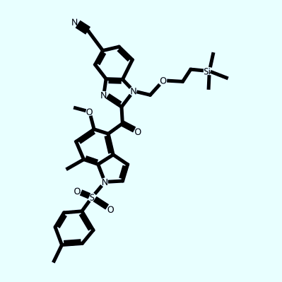 COc1cc(C)c2c(ccn2S(=O)(=O)c2ccc(C)cc2)c1C(=O)c1nc2cc(C#N)ccc2n1COCC[Si](C)(C)C